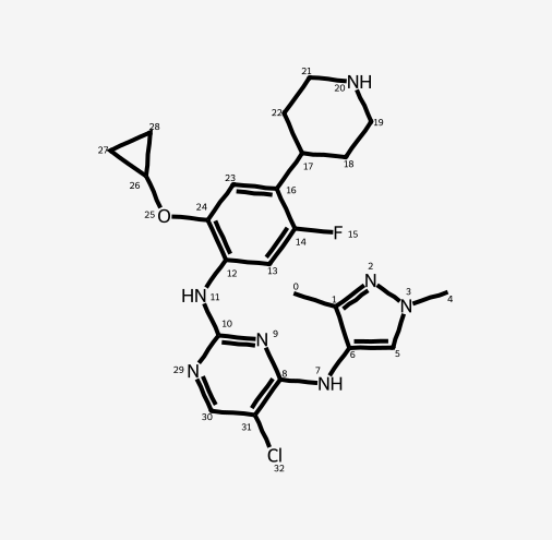 Cc1nn(C)cc1Nc1nc(Nc2cc(F)c(C3CCNCC3)cc2OC2CC2)ncc1Cl